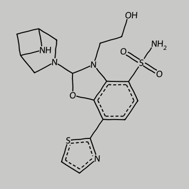 NS(=O)(=O)c1ccc(-c2nccs2)c2c1N(CCO)C(N1CC3CC(C1)N3)O2